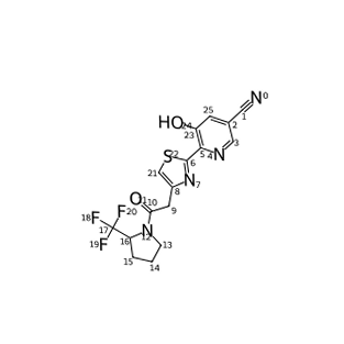 N#Cc1cnc(-c2nc(CC(=O)N3CCCC3C(F)(F)F)cs2)c(O)c1